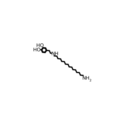 NCCCCCCCCCCCCCCCCNCCc1ccc(O)c(O)c1